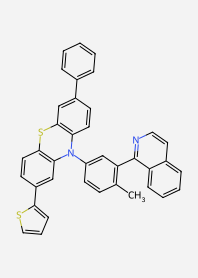 Cc1ccc(N2c3ccc(-c4ccccc4)cc3Sc3ccc(-c4cccs4)cc32)cc1-c1nccc2ccccc12